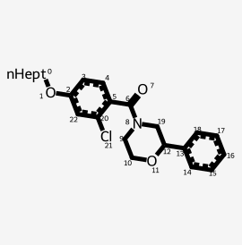 CCCCCCCOc1ccc(C(=O)N2CCOC(c3ccccc3)C2)c(Cl)c1